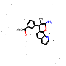 COC(=O)c1cccc(C2C(C#N)=C(N)Oc3c2ccc2cccnc32)c1